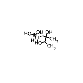 CC(O)C(C)(C)O.OB(O)O